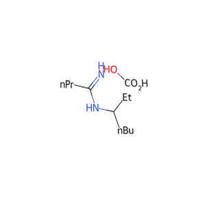 CCCCC(CC)NC(=N)CCC.O=C(O)O